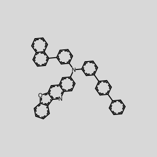 c1ccc(-c2ccc(-c3cccc(N(c4cccc(-c5cccc6ccccc56)c4)c4ccc5nc6c(cc5c4)oc4ccccc46)c3)cc2)cc1